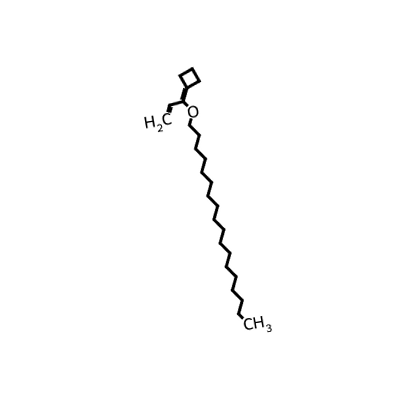 C=CC(OCCCCCCCCCCCCCCCCCC)=C1CCC1